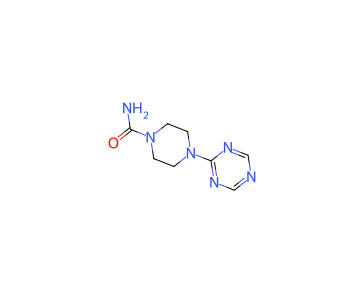 NC(=O)N1CCN(c2ncncn2)CC1